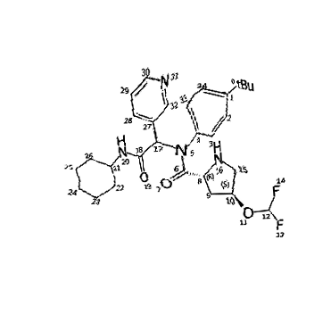 CC(C)(C)c1ccc(N(C(=O)[C@H]2C[C@H](OC(F)F)CN2)C(C(=O)NC2CCCCC2)c2cccnc2)cc1